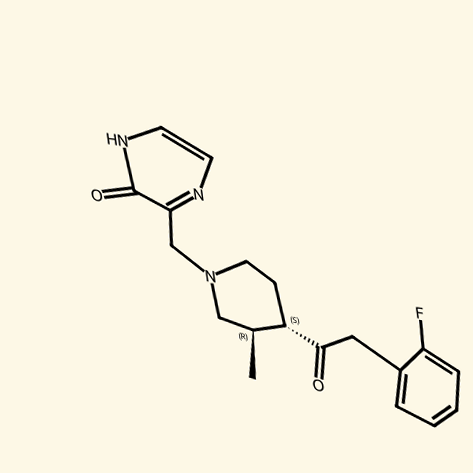 C[C@H]1CN(Cc2ncc[nH]c2=O)CC[C@@H]1C(=O)Cc1ccccc1F